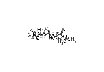 CC(C)Oc1ccc(-c2nnc(-c3cccc4c3CC[C@@H]4NC(=O)N3CCCCC3)s2)cc1C#N